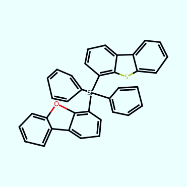 c1ccc([Si](c2ccccc2)(c2cccc3c2oc2ccccc23)c2cccc3c2sc2ccccc23)cc1